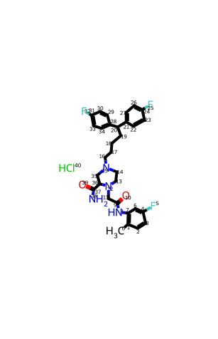 Cc1ccc(F)cc1NC(=O)CN1CCN(CCCCC(c2ccc(F)cc2)c2ccc(F)cc2)CC1C(N)=O.Cl